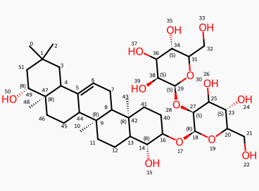 CC1(C)CC2C3=CCC4[C@@](C)(CCC5[C@@H](O)C(O[C@@H]6OC(CO)[C@@H](O)C(O)[C@@H]6O[C@@H]6OC(CO)[C@@H](O)C(O)[C@@H]6O)CC[C@@]54C)C3CC[C@@]2(C)[C@H](O)C1